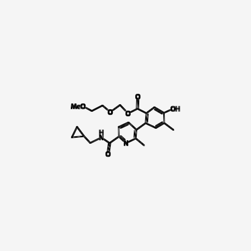 COCCOCOC(=O)c1cc(O)c(C)cc1-c1ccc(C(=O)NCC2CC2)nc1C